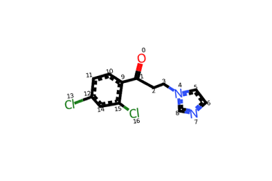 O=C(CCn1ccnc1)c1ccc(Cl)cc1Cl